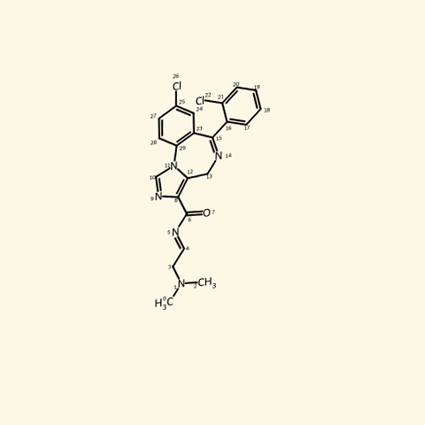 CN(C)CC=NC(=O)c1ncn2c1CN=C(c1ccccc1Cl)c1cc(Cl)ccc1-2